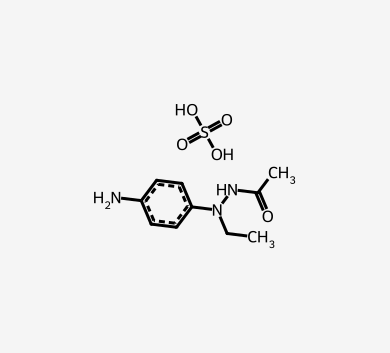 CCN(NC(C)=O)c1ccc(N)cc1.O=S(=O)(O)O